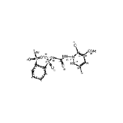 CCCS(=O)(=O)c1ccccc1S(=O)(=O)NC(=O)NN1NC(C)=CC(OC)=[N+]1[O-]